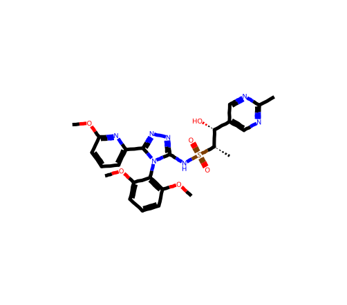 COc1cccc(-c2nnc(NS(=O)(=O)[C@@H](C)[C@H](O)c3cnc(C)nc3)n2-c2c(OC)cccc2OC)n1